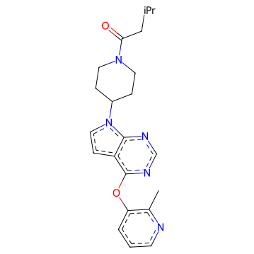 Cc1ncccc1Oc1ncnc2c1ccn2C1CCN(C(=O)CC(C)C)CC1